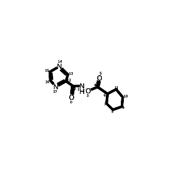 O=C(NOC(=O)C1CCCCC1)c1cnccn1